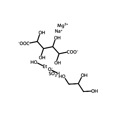 CCO.O=C([O-])C(O)C(O)C(O)C(O)C(=O)[O-].O=S(=O)([O-])O.OCC(O)CO.[Mg+2].[Na+]